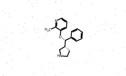 Cc1ncccc1O[C@H](c1ccccc1)[C@@H]1CCNC1